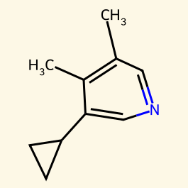 Cc1cncc(C2CC2)c1C